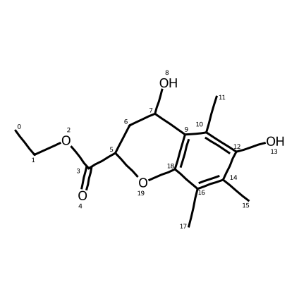 CCOC(=O)C1CC(O)c2c(C)c(O)c(C)c(C)c2O1